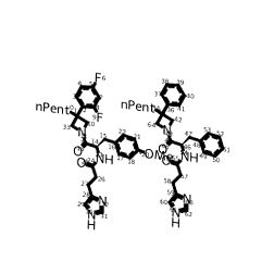 CCCCCC1(c2ccc(F)cc2F)CN(C(=O)[C@@H](Cc2ccc(OC)cc2)NC(=O)CCc2c[nH]cn2)C1.CCCCCC1(c2ccccc2)CN(C(=O)[C@@H](Cc2ccccc2)NC(=O)CCc2c[nH]cn2)C1